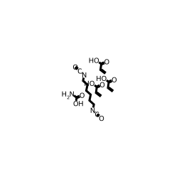 C=CC(=O)O.C=CC(=O)O.C=CC(=O)O.NC(=O)O.O=C=NCCCCCCN=C=O